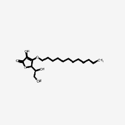 CCCCCCCCCCCCOC1=C(O)C(=O)OC1C(O)CO